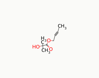 CC#CCOC(=O)C(C)(C)O